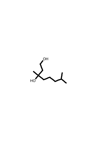 CC(C)CCCC(C)(O)CCO